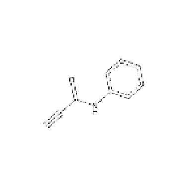 C#CC(=O)Nc1ccccc1